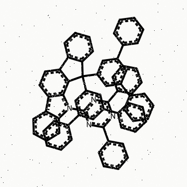 c1ccc(-c2cc(-c3ccccc3)cc(C3(c4cc(-c5ccccc5)cc(-c5ccccc5)c4)c4ccccc4-c4ccc5c6ccccc6n(-c6nc(-c7ccccc7)nc(-c7ccccc7)n6)c5c43)c2)cc1